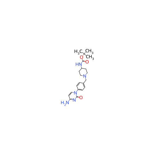 CC(C)(C)OC(=O)NC1CCN(Cc2ccc(-n3ccc(N)nc3=O)cc2)CC1